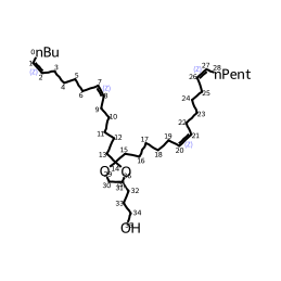 CCCC/C=C\CCCC/C=C\CCCCCC1(CCCCC/C=C\CCCC/C=C\CCCCC)OC[C@H](CCCO)O1